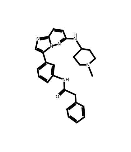 CN1CCC(Nc2ccc3ncc(-c4cccc(NC(=O)Cc5ccccc5)c4)n3n2)CC1